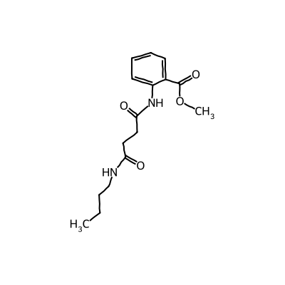 CCCCNC(=O)CCC(=O)Nc1ccccc1C(=O)OC